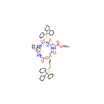 CC(C)(C)OC(=O)CC[C@H]1NC(=O)C[C@@H](C=CCCSC(c2ccccc2)(c2ccccc2)c2ccccc2)OC(=O)CNC(=O)C(C)(C)NC(=O)[C@@H](CSC(c2ccccc2)(c2ccccc2)c2ccccc2)NC1=O